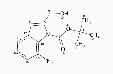 CC(C)(C)OC(=O)n1c(CO)cc2cccc(F)c21